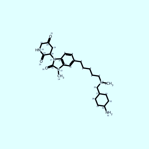 CN(CCCCCc1ccc2c(c1)n(C)c(=O)n2C1CC(=O)CNC1=O)CC1CCC(N)CC1